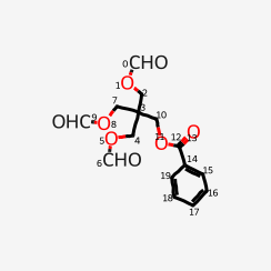 O=COCC(COC=O)(COC=O)COC(=O)c1ccccc1